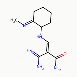 C/N=C1\CCCCC1N/C=C(\C(=N)N)C(N)=O